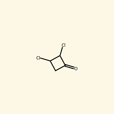 O=C1CC(Cl)C1Cl